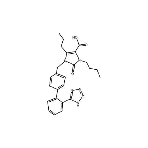 CCCCn1c(C(=O)O)c(CCC)n(Cc2ccc(-c3ccccc3-c3nnn[nH]3)cc2)c1=O